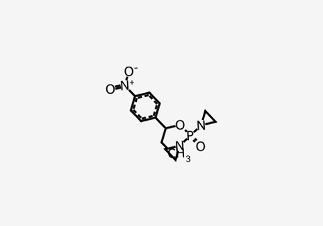 CCC(OP(=O)(N1CC1)N1CC1)c1ccc([N+](=O)[O-])cc1